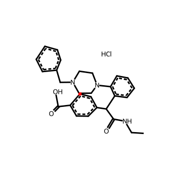 CCNC(=O)C(c1ccc(C(=O)O)cc1)c1ccccc1N1CCN(Cc2ccccc2)CC1.Cl